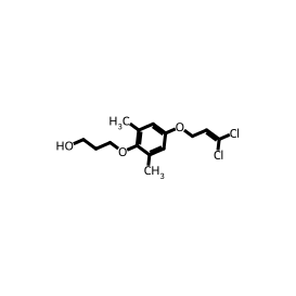 Cc1cc(OCC=C(Cl)Cl)cc(C)c1OCCCO